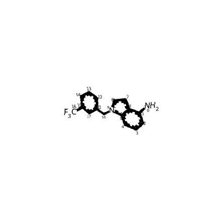 Nc1cccc2c1ccn2Cc1cccc(C(F)(F)F)c1